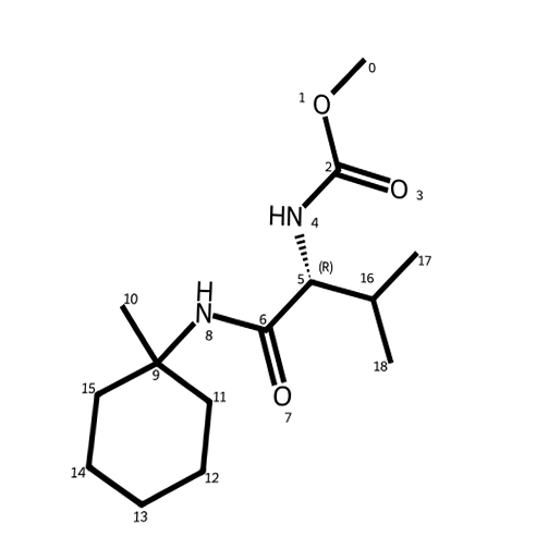 COC(=O)N[C@@H](C(=O)NC1(C)CCCCC1)C(C)C